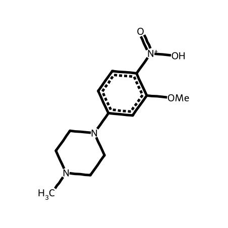 COc1cc(N2CCN(C)CC2)ccc1[N+](=O)O